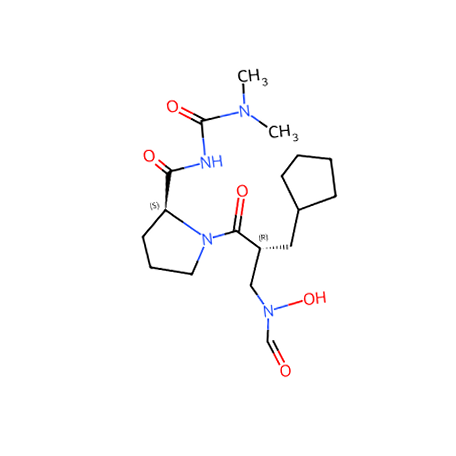 CN(C)C(=O)NC(=O)[C@@H]1CCCN1C(=O)[C@H](CC1CCCC1)CN(O)C=O